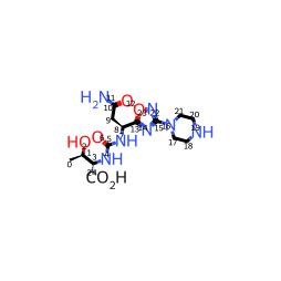 C[C@@H](O)[C@H](NC(=O)N[C@@H](CC(N)=O)c1nc(N2CCNCC2)no1)C(=O)O